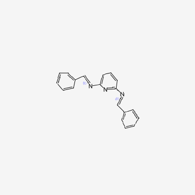 C(=N\c1cccc(/N=C/c2ccccc2)n1)/c1ccccc1